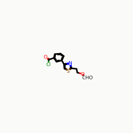 O=COCCc1nc(-c2cccc(C(=O)Cl)c2)cs1